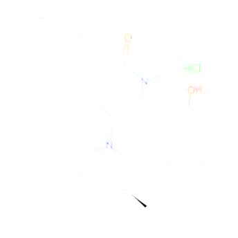 CC1CCN(CCC(C(=O)N(C)C)c2ccccc2)[C@H](c2cccc(O)c2)[C@H]1C.Cl